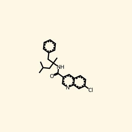 CC(C)CC(C)(Cc1ccccc1)NC(=O)c1cnc2cc(Cl)ccc2c1